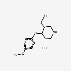 CCOC1CNCCC1Oc1ccc(OC(C)C)cn1.Cl